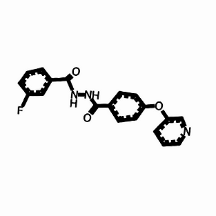 O=C(NNC(=O)c1cccc(F)c1)c1ccc(Oc2cccnc2)cc1